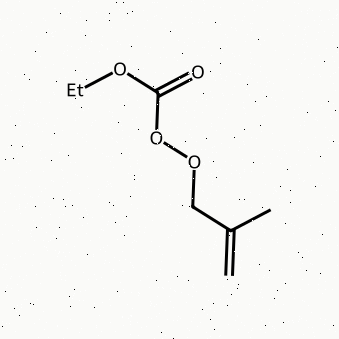 C=C(C)COOC(=O)OCC